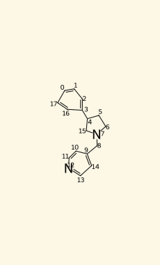 c1ccc(C2CCN(Cc3ccncc3)C2)cc1